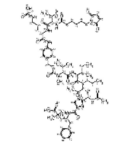 CCCN(C(=O)[C@@H](NC(=O)[C@@H](C(C)C)N(C)C(=O)OCc1ccc(NC(=O)[C@H](CCCNC(N)=O)NC(=O)[C@@H](NC(=O)CCCCCN2C(=O)C=CC2=O)C(C)C)cc1)[C@@H](C)CC)[C@H](C[C@@H](OC(C)=O)c1nc(C(=O)N[C@@H](Cc2ccccc2)CC(C)(C)C(=O)O)cs1)C(C)C